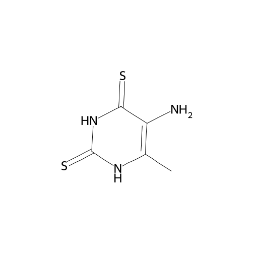 Cc1[nH]c(=S)[nH]c(=S)c1N